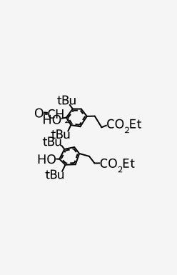 C=O.CCOC(=O)CCc1cc(C(C)(C)C)c(O)c(C(C)(C)C)c1.CCOC(=O)CCc1cc(C(C)(C)C)c(O)c(C(C)(C)C)c1